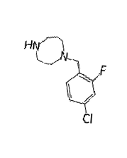 Fc1cc(Cl)ccc1CN1CCNCC1